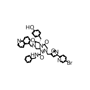 O=C1[C@H](Cc2ccc(O)cc2)N2C(=O)CN(Cc3cc(-c4ccc(Br)cn4)no3)N(C(=O)NCc3ccccc3)C2CN1Cc1cccc2ncccc12